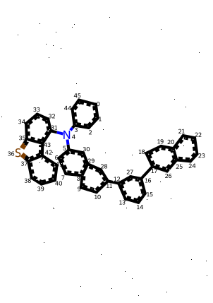 c1ccc(N(c2ccc3ccc(-c4cccc(-c5ccc6ccccc6c5)c4)cc3c2)c2cccc3sc4ccccc4c23)cc1